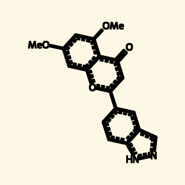 COc1cc(OC)c2c(=O)cc(-c3ccc4[nH]ncc4c3)oc2c1